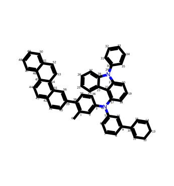 Cc1cc(N(c2cccc(C3=CCCC=C3)c2)c2cccc3c2c2ccccc2n3-c2ccccc2)ccc1-c1ccc2ccc3c4ccccc4ccc3c2c1